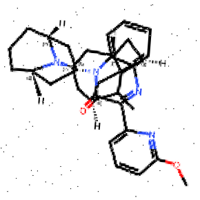 COc1cccc(-c2nc3ccccc3n([C@H]3C[C@H]4CCC[C@@H](C3)N4[C@@H]3C[C@H]4C[C@H]5C[C@@H](C3)C5C4C)c2=O)n1